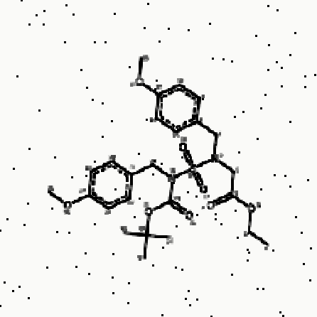 CCOC(=O)CN(Cc1ccc(OC)cc1)S(=O)(=O)N(Cc1ccc(OC)cc1)C(=O)OC(C)(C)C